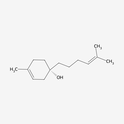 CC(C)=CCCC[C@@]1(O)CC=C(C)CC1